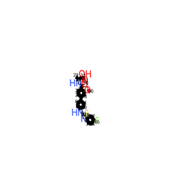 COc1cc(-c2ccc(Nc3nc4ccc(F)cc4s3)cc2)ccc1C(=O)NC(C)C(=O)O